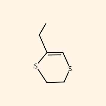 CCC1=CSCCS1